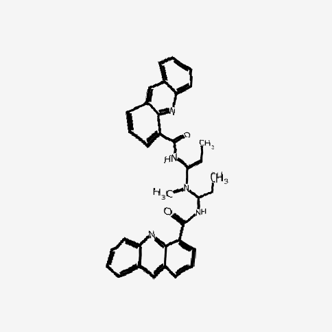 CCC(NC(=O)c1cccc2cc3ccccc3nc12)N(C)C(CC)NC(=O)c1cccc2cc3ccccc3nc12